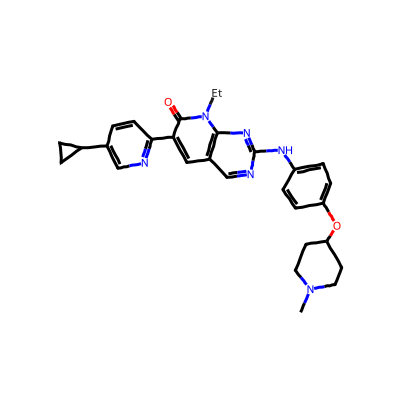 CCn1c(=O)c(-c2ccc(C3CC3)cn2)cc2cnc(Nc3ccc(OC4CCN(C)CC4)cc3)nc21